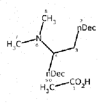 CC(=O)O.CCCCCCCCCCCC(CCCCCCCCCC)N(C)C